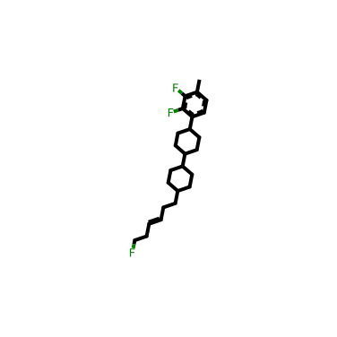 Cc1ccc(C2CCC(C3CCC(CCC=CCCF)CC3)CC2)c(F)c1F